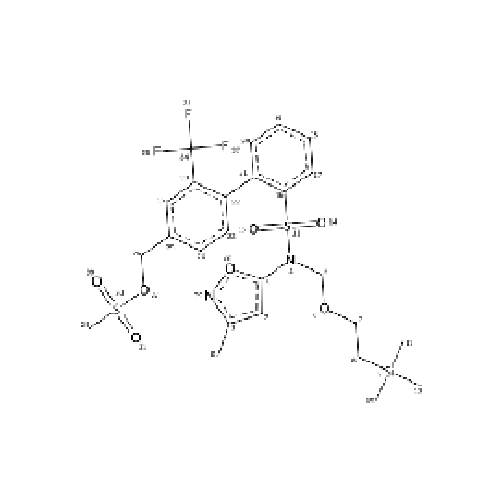 Cc1cc(N(COCC[Si](C)(C)C)S(=O)(=O)c2ccccc2-c2ccc(COS(C)(=O)=O)cc2C(F)(F)F)on1